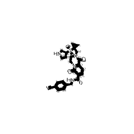 N#Cc1ccc(CNC(=O)c2ccc3n(c2=O)CCN(CC2(S(=O)(=O)C4CCNC4)CC2)C3=O)cc1